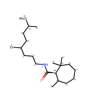 CCC(CCCNC(=O)[C@@H]1C(C)CCCCC1(C)C)CCC(C)OC